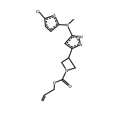 C=CCOC(=O)N1CC(c2cc(N(C)c3ccc(Cl)s3)[nH]n2)C1